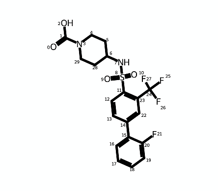 O=C(O)N1CCC(NS(=O)(=O)c2ccc(-c3ccccc3F)cc2C(F)(F)F)CC1